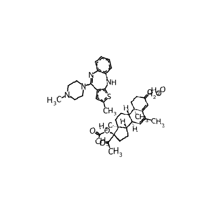 CC(=O)O[C@]1(C(C)=O)CC[C@H]2[C@@H]3C=C(C)C4=CC(=O)CC[C@]4(C)[C@H]3CC[C@@]21C.Cc1cc2c(s1)Nc1ccccc1N=C2N1CCN(C)CC1.O.O